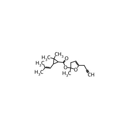 C#CCC1=CCC(C)(OC(=O)C2C(C=C(C)C)C2(C)C)O1